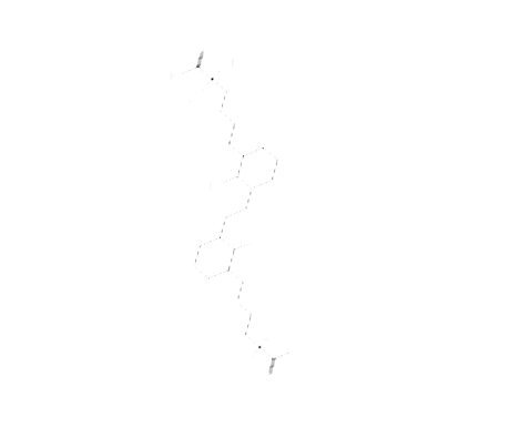 CC(C)(CCCCC1CCCC(CCC2CCCC(CCCCC(C)(C)C(=O)O)C2O)C1O)C(=O)O